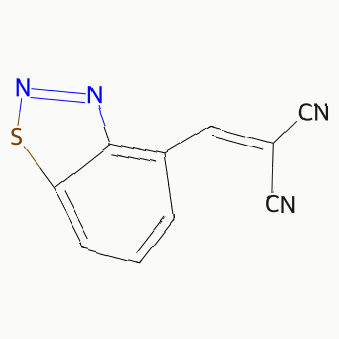 N#CC(C#N)=Cc1cccc2snnc12